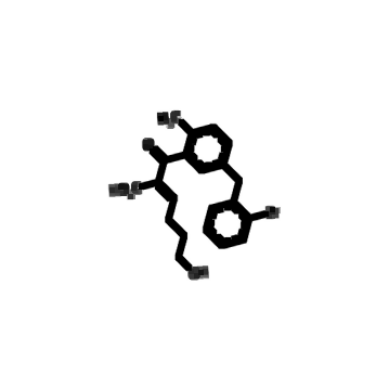 Cc1ccc(Cc2ccccc2Br)cc1C(=O)C(=CCCCO)C(=O)O